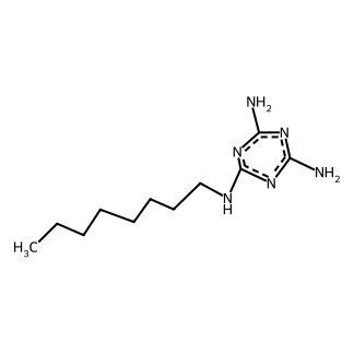 CCCCCCCCNc1nc(N)nc(N)n1